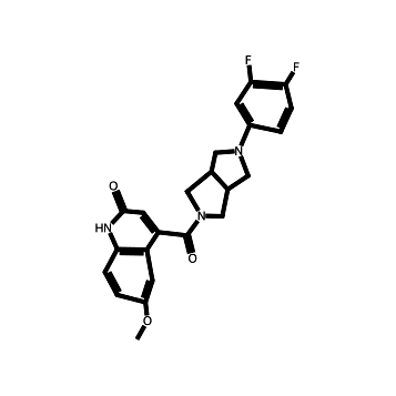 COc1ccc2[nH]c(=O)cc(C(=O)N3CC4CN(c5ccc(F)c(F)c5)CC4C3)c2c1